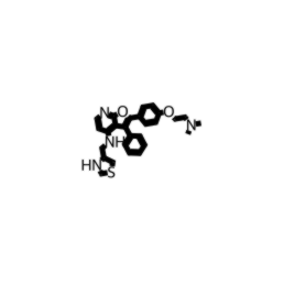 CN(C)CCOc1ccc(-c2oc3nccc(NCC4CSCN4)c3c2-c2ccccc2)cc1